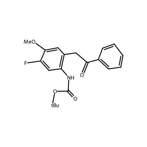 COc1cc(CC(=O)c2ccccc2)c(NC(=O)OC(C)(C)C)cc1F